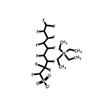 CC[N+](CC)(CC)CC.O=S(=O)([O-])C(F)C(F)(F)C(F)C(F)C(F)C(F)C(F)C(F)C(F)F